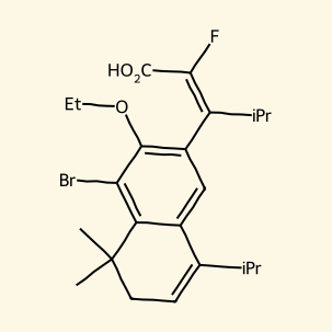 CCOc1c(/C(=C(/F)C(=O)O)C(C)C)cc2c(c1Br)C(C)(C)CC=C2C(C)C